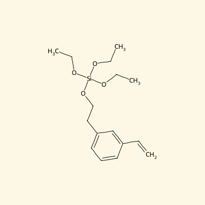 C=Cc1cccc(CCO[Si](OCC)(OCC)OCC)c1